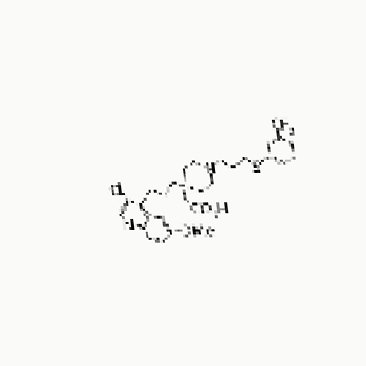 COc1ccc2ncc(Cl)c(CCCC3(CC(=O)O)CCN(CCCSc4cccc(C(F)(F)F)c4)CC3)c2c1